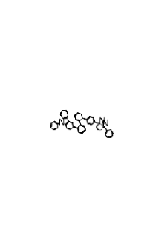 C1=Cc2c(n(-c3ccccc3)c3ccc(-c4ccccc4-c4ccccc4-c4ccc(-c5nnc(-c6ccccc6)o5)cc4)cc23)CC1